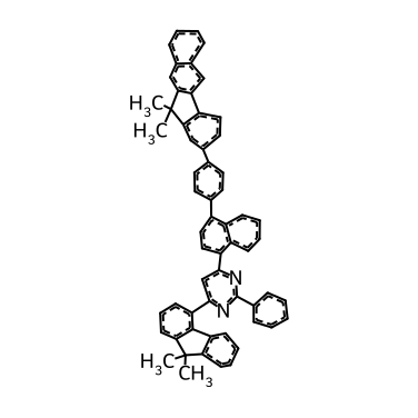 CC1(C)c2cc(-c3ccc(-c4ccc(-c5cc(-c6cccc7c6-c6ccccc6C7(C)C)nc(-c6ccccc6)n5)c5ccccc45)cc3)ccc2-c2cc3ccccc3cc21